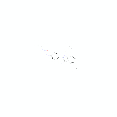 CCNC(=O)Nc1ccc(-c2c(N)c3cc(OCC)ccc3n2CC2CC2)cc1